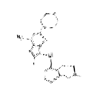 Cc1nc2c(N)cc(N3CCOCC3)nn2c1Nc1cccc2c1CCN(C)C2